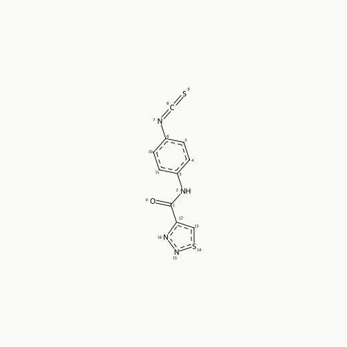 O=C(Nc1ccc(N=C=S)cc1)c1csnn1